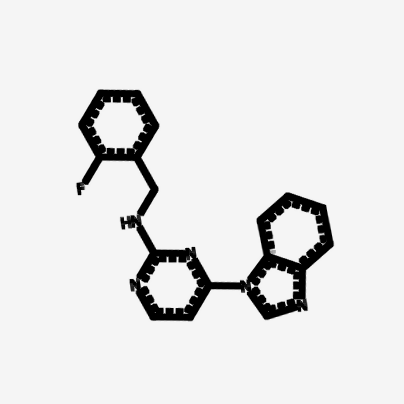 Fc1ccccc1CNc1nccc(-n2cnc3ccccc32)n1